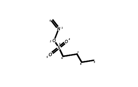 C=NOS(=O)(=O)CCCC